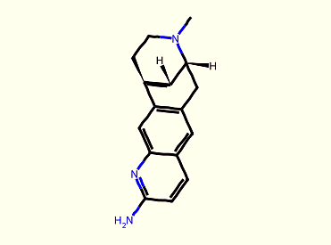 CN1CC[C@]23CCCC[C@H]2[C@H]1Cc1cc2ccc(N)nc2cc13